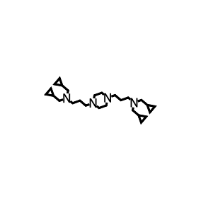 C(CN1CCN(CCCN(CC2CC2)CC2CC2)CC1)CN(CC1CC1)CC1CC1